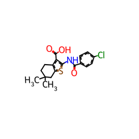 CC1(C)CCc2c(sc(NC(=O)c3ccc(Cl)cc3)c2C(=O)O)C1